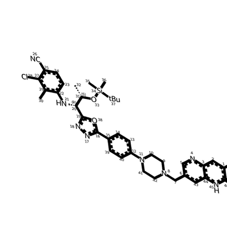 CCc1cc2ncc(CN3CCN(c4ccc(-c5nnc([C@H](Nc6ccc(C#N)c(Cl)c6C)[C@H](C)O[Si](C)(C)C(C)(C)C)o5)cc4)CC3)cc2[nH]c1=O